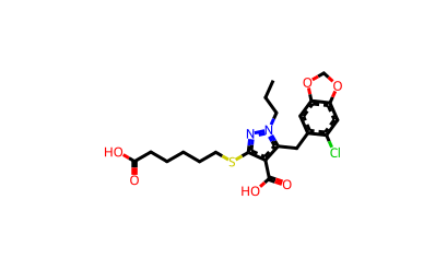 CCCn1nc(SCCCCCC(=O)O)c(C(=O)O)c1Cc1cc2c(cc1Cl)OCO2